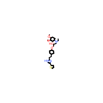 CCN(C[C@H](O)COc1ccc(CCc2nc(-c3cccs3)c[nH]2)cc1)c1ccc(OC)c(OC)c1